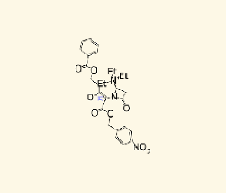 CC[N+](CC)(CC)C1CC(=O)N1/C(C(=O)OCc1ccc([N+](=O)[O-])cc1)=C(/[O-])CCOC(=O)c1ccccc1